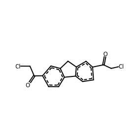 O=C(CCl)c1ccc2c(c1)Cc1cc(C(=O)CCl)ccc1-2